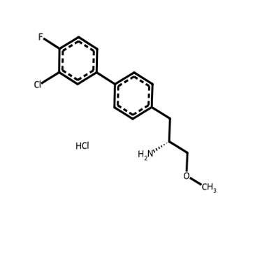 COC[C@H](N)Cc1ccc(-c2ccc(F)c(Cl)c2)cc1.Cl